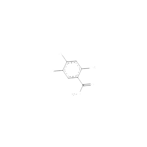 COC(=O)c1cc(Cl)c(Cl)cc1O